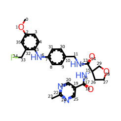 COc1ccc(Nc2ccc(CNC(=O)[C@]3(NC(=O)c4cnc(C)nc4)CCOC3)cc2)c(CF)c1